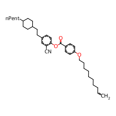 C=CCCCCCCCCOc1ccc(C(=O)Oc2ccc(CCC3CCC(CCCCC)CC3)cc2C#N)cc1